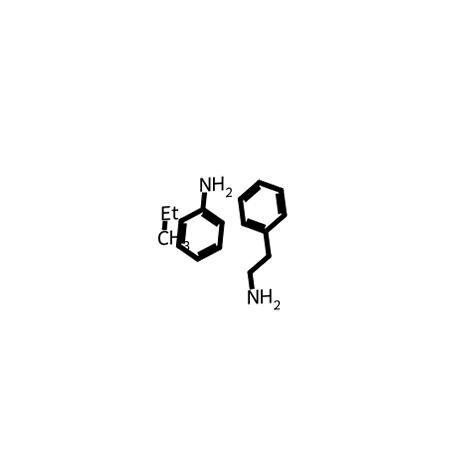 CCC.NCCc1ccccc1.Nc1ccccc1